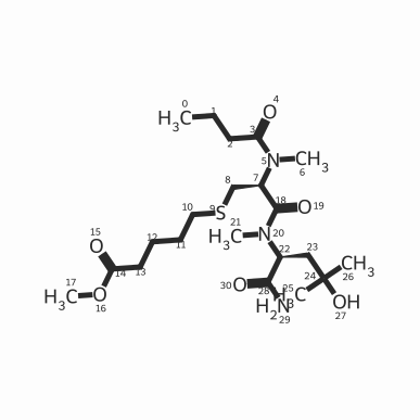 CCCC(=O)N(C)[C@H](CSCCCCC(=O)OC)C(=O)N(C)[C@@H](CC(C)(C)O)C(N)=O